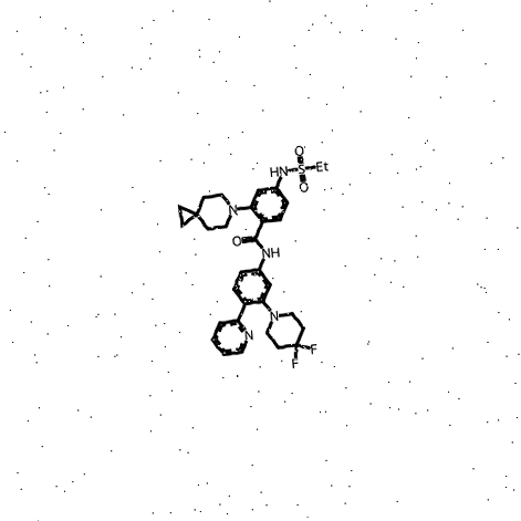 CCS(=O)(=O)Nc1ccc(C(=O)Nc2ccc(-c3ccccn3)c(N3CCC(F)(F)CC3)c2)c(N2CCC3(CC2)CC3)c1